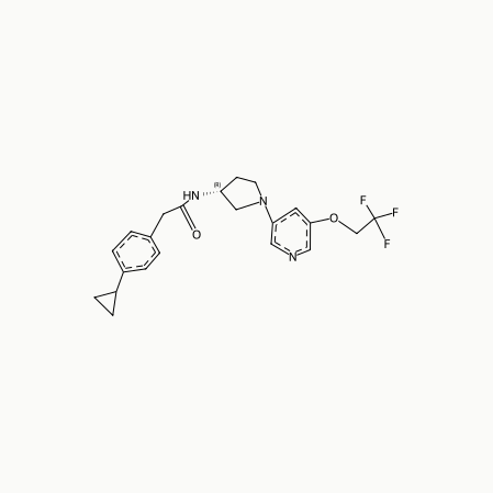 O=C(Cc1ccc(C2CC2)cc1)N[C@@H]1CCN(c2cncc(OCC(F)(F)F)c2)C1